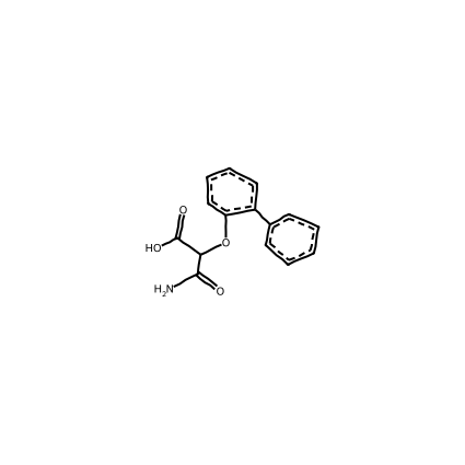 NC(=O)C(Oc1ccccc1-c1ccccc1)C(=O)O